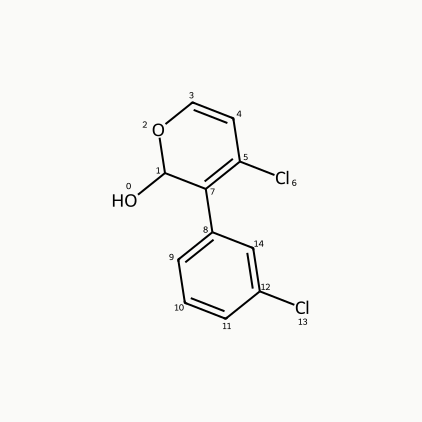 OC1OC=CC(Cl)=C1c1cccc(Cl)c1